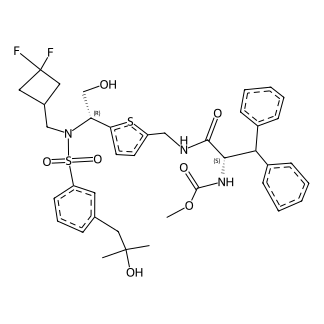 COC(=O)N[C@H](C(=O)NCc1ccc([C@@H](CO)N(CC2CC(F)(F)C2)S(=O)(=O)c2cccc(CC(C)(C)O)c2)s1)C(c1ccccc1)c1ccccc1